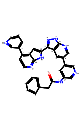 O=C(Cc1ccccc1)Nc1cncc(-c2cnc3[nH]nc(-c4cc5c(-c6cccnc6)ccnc5[nH]4)c3c2)c1